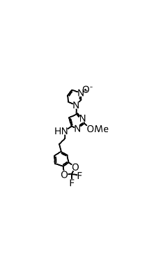 COc1nc(NCCc2ccc3c(c2)OC(F)(F)O3)cc(N2C=[N+]([O-])C=CC2)n1